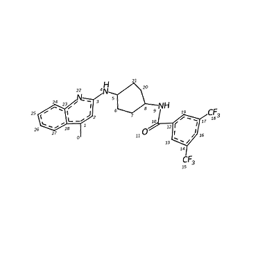 Cc1cc(NC2CCC(NC(=O)c3cc(C(F)(F)F)cc(C(F)(F)F)c3)CC2)nc2ccccc12